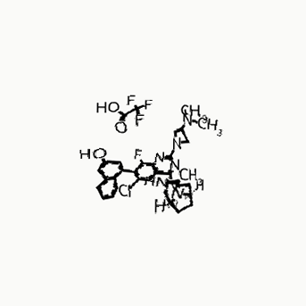 CC(=N)N1[C@@H]2CC[C@H]1CN(c1nc(N3CC(N(C)C)C3)nc3c(F)c(-c4cc(O)cc5ccccc45)c(Cl)cc13)C2.O=C(O)C(F)(F)F